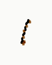 C(CSCC1CS1)SCCSCC1CSS1